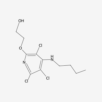 CCCCNc1c(Cl)c(Cl)nc(OCCO)c1Cl